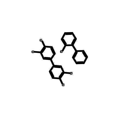 Clc1ccc(-c2ccc(Cl)c(Cl)c2)cc1Cl.Clc1ccccc1-c1ccccc1